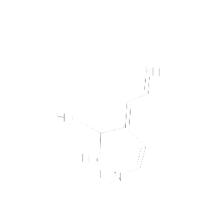 CC(C)C(/C=C\N)=C/C=P